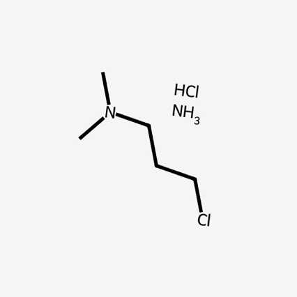 CN(C)CCCCl.Cl.N